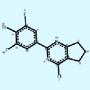 Fc1cc(-c2nc(Cl)c3c(n2)CCC3)cc(F)c1Br